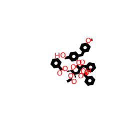 COc1ccc(Cc2ccc(CO)cc2O[C@@H]2O[C@H](COC(=O)c3ccccc3)[C@@](C)(OC(C)=O)[C@H](OC(=O)c3ccccc3)[C@]2(O)C(=O)c2ccccc2)cc1